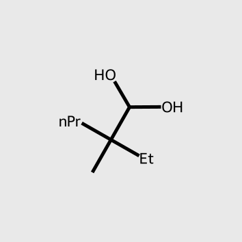 CCCC(C)(CC)C(O)O